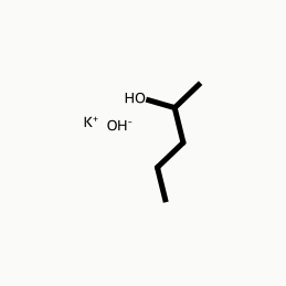 CCCC(C)O.[K+].[OH-]